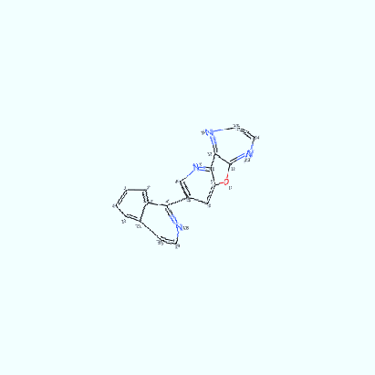 c1ccc2c(-c3cnc4c(c3)oc3nccnc34)nccc2c1